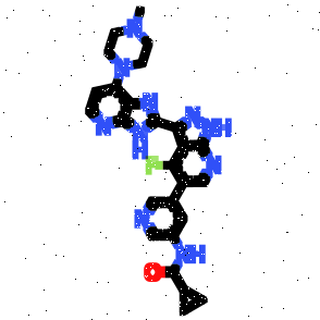 CN1CCN(c2ccnc3[nH]c(-c4n[nH]c5ncc(-c6cncc(NC(=O)C7CC7)c6)c(F)c45)nc23)CC1